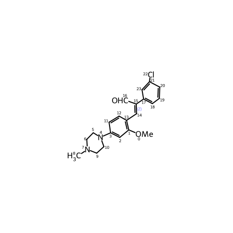 COc1cc(N2CCN(C)CC2)ccc1/C=C(\C=O)c1cccc(Cl)c1